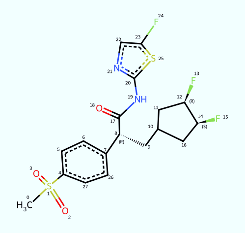 CS(=O)(=O)c1ccc([C@@H](CC2C[C@@H](F)[C@@H](F)C2)C(=O)Nc2ncc(F)s2)cc1